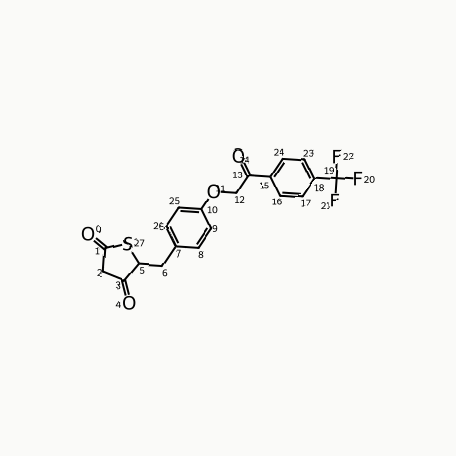 O=C1CC(=O)C(Cc2ccc(OCC(=O)c3ccc(C(F)(F)F)cc3)cc2)S1